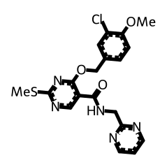 COc1ccc(COc2nc(SC)ncc2C(=O)NCc2ncccn2)cc1Cl